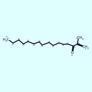 C=C(C)C(=O)CCCCCCCCCCCCC